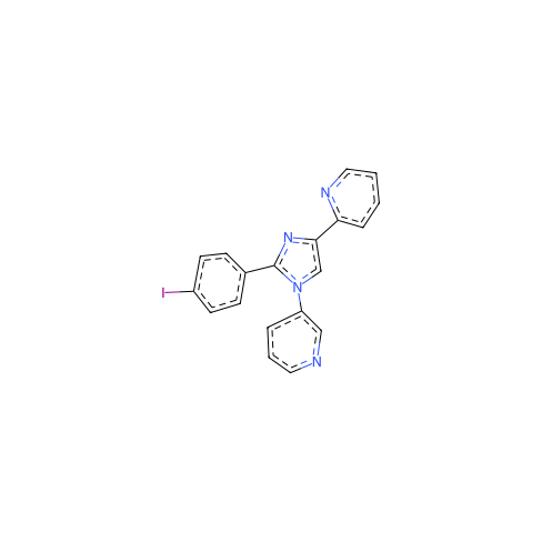 Ic1ccc(-c2nc(-c3ccccn3)cn2-c2cccnc2)cc1